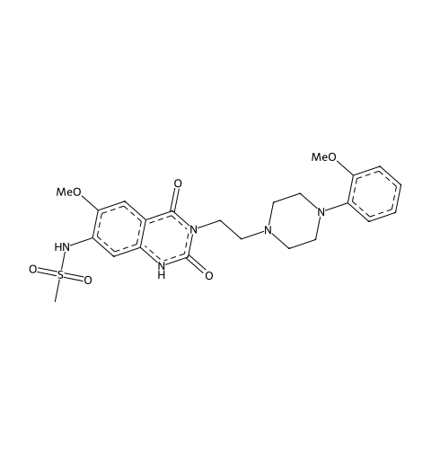 COc1cc2c(=O)n(CCN3CCN(c4ccccc4OC)CC3)c(=O)[nH]c2cc1NS(C)(=O)=O